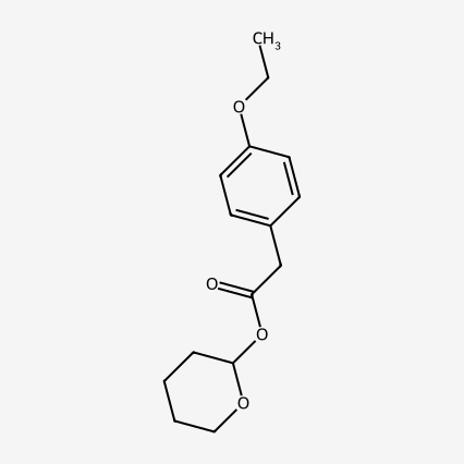 CCOc1ccc(CC(=O)OC2CCCCO2)cc1